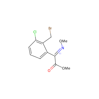 CO/N=C(/C(=O)OC)c1cccc(Cl)c1CBr